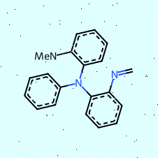 C=Nc1ccccc1N(c1ccccc1)c1ccccc1NC